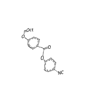 [C-]#[N+]c1ccc(OC(=O)c2ccc(OCCCCCCCC)cc2)cc1